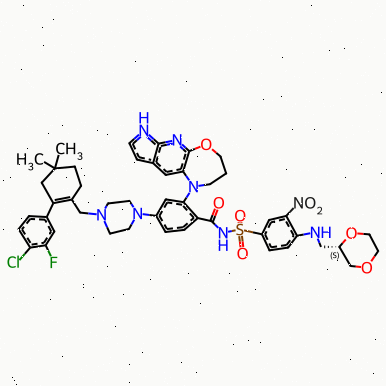 CC1(C)CCC(CN2CCN(c3ccc(C(=O)NS(=O)(=O)c4ccc(NC[C@H]5COCCO5)c([N+](=O)[O-])c4)c(N4CCCOc5nc6[nH]ccc6cc54)c3)CC2)=C(c2ccc(Cl)c(F)c2)C1